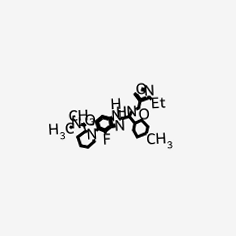 CCc1nocc1C(=O)NC(c1nc2c(F)c(N3CCCC[C@H]3C(=O)N(C)C)ccc2[nH]1)C1CCC(C)CC1